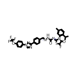 Cc1ccc(C(C)C)c(N2C(=O)C(F)S/C2=N\C(=O)N/N=C/c2ccc(-c3ncn(-c4ccc(OC(F)(F)F)cc4)n3)cc2)c1